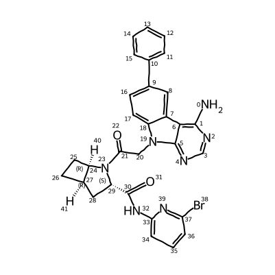 Nc1ncnc2c1c1cc(-c3ccccc3)ccc1n2CC(=O)N1[C@@H]2CC[C@@H]2C[C@H]1C(=O)Nc1cccc(Br)n1